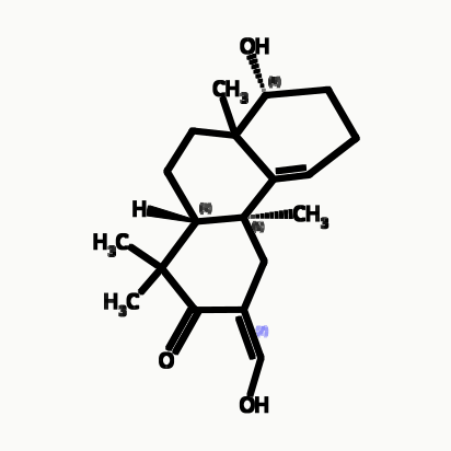 CC1(C)C(=O)/C(=C\O)C[C@]2(C)C3=CCC[C@@H](O)C3(C)CC[C@@H]12